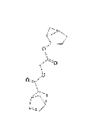 O=C(COC(=O)C1CC2C=CC1C2)OC12CCC(CC1)C2